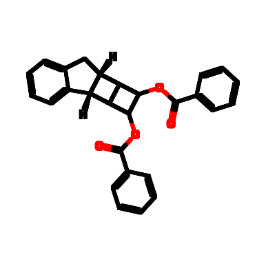 O=C(OC1C(OC(=O)c2ccccc2)C2C1[C@H]1Cc3ccccc3[C@@H]21)c1ccccc1